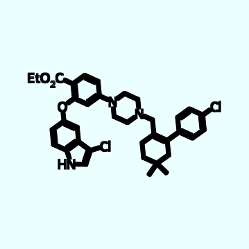 CCOC(=O)c1ccc(N2CCN(CC3=C(c4ccc(Cl)cc4)CC(C)(C)CC3)CC2)cc1Oc1ccc2[nH]cc(Cl)c2c1